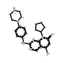 CCc1cc(=O)n(C2CCCC2)c2nc(Nc3ccc(N4CCNCC4)cc3)ncc12